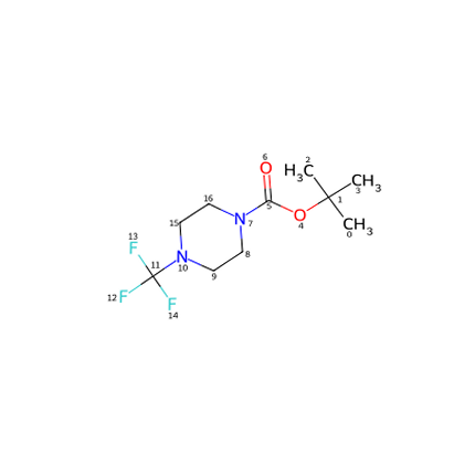 CC(C)(C)OC(=O)N1CCN(C(F)(F)F)CC1